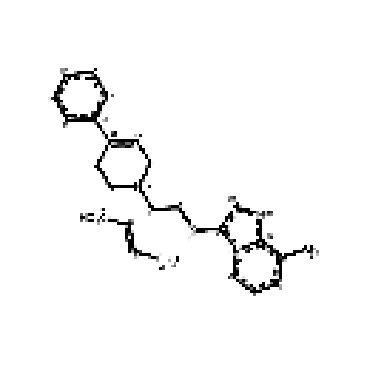 FC(F)(F)c1cccn2c(SCCN3CC=C(c4ccccc4)CC3)nnc12.O=C(O)C=CC(=O)O